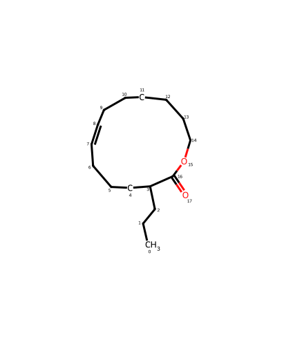 CCCC1CCCC=CCCCCCCOC1=O